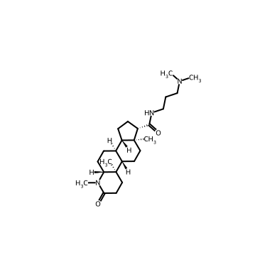 CN(C)CCCNC(=O)[C@H]1CC[C@H]2[C@@H]3CC[C@H]4N(C)C(=O)CC[C@]4(C)[C@H]3CC[C@]12C